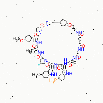 CC[C@]1(C)NC(=O)[C@@H]2C[C@H](F)CN2C(=O)[C@H](Cc2c[nH]c3ccc(C)cc23)NC(=O)[C@H](Cc2c[nH]c3ccc(P)cc23)NC(=O)[C@@H](C)NC(=O)CNC(=O)CCC(=O)NCCOc2ccc(cc2)CCNC(=O)C2CCCN2C(=O)[C@H](Cc2ccc(OC)cc2)NC1=O